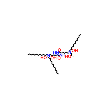 CCCCCCCCCC[C@H](O)CN(CCCC[C@@H]1NC(=O)[C@@H](CCCCN(C[C@@H](O)CCCCCCCCCC)C[C@H](C)O)NC1=O)C[C@@H](O)CCCCCCCCCC